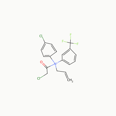 C=CC[N+](C(=O)CCl)(c1ccc(Cl)cc1)c1cccc(C(F)(F)F)c1